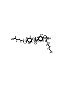 C=CCCCCOc1ccc(OC(=O)c2ccc(O[C@@H](C)CCCCCC)cc2)cc1